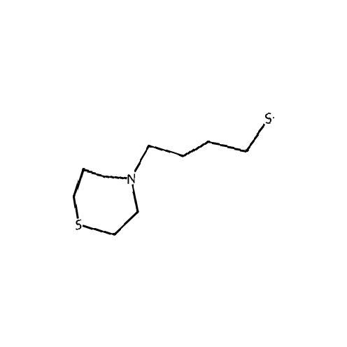 [S]CCCCN1CCSCC1